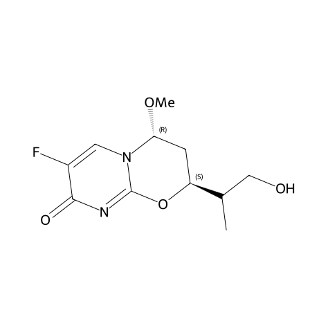 CO[C@@H]1C[C@@H](C(C)CO)Oc2nc(=O)c(F)cn21